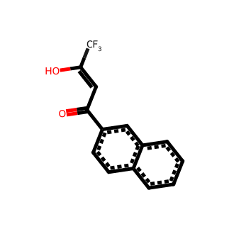 O=C(/C=C(\O)C(F)(F)F)c1ccc2ccccc2c1